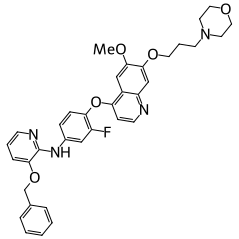 COc1cc2c(Oc3ccc(Nc4ncccc4OCc4ccccc4)cc3F)ccnc2cc1OCCCN1CCOCC1